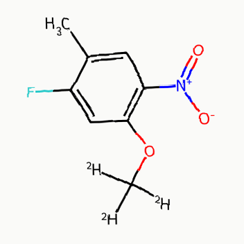 [2H]C([2H])([2H])Oc1cc(F)c(C)cc1[N+](=O)[O-]